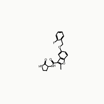 Cc1oc2ccc(OCc3ccccc3F)cc2c1C(=O)NC1CCNC1=O